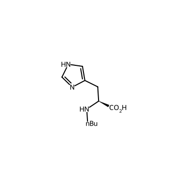 CCCCN[C@@H](Cc1c[nH]cn1)C(=O)O